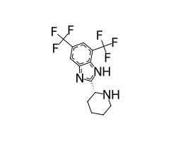 FC(F)(F)c1cc(C(F)(F)F)c2[nH]c([C@H]3CCCCN3)nc2c1